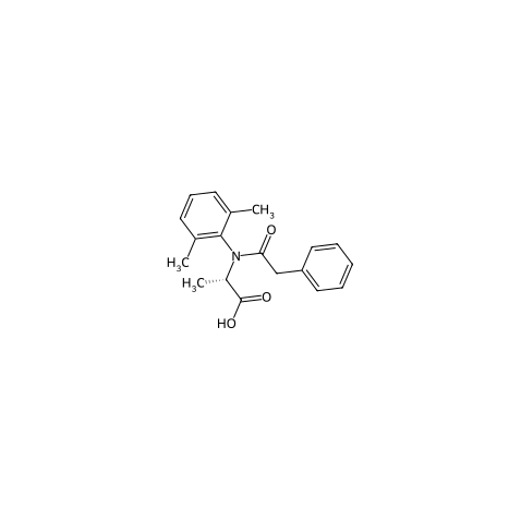 Cc1cccc(C)c1N(C(=O)Cc1ccccc1)[C@@H](C)C(=O)O